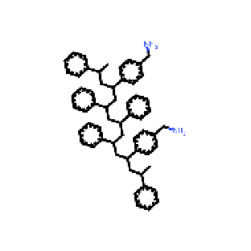 CC(CC(CC(CC(CC(CC(CC(C)c1ccccc1)c1ccc(CN)cc1)c1ccccc1)c1ccccc1)c1ccccc1)c1ccc(CN)cc1)c1ccccc1